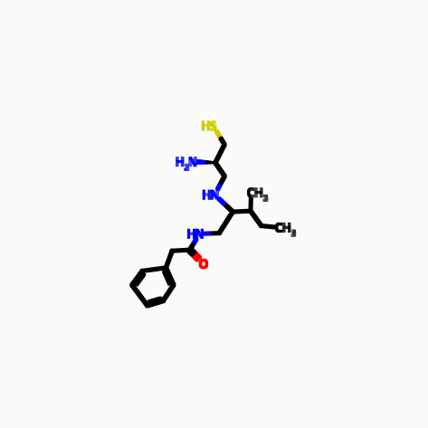 CCC(C)C(CNC(=O)Cc1ccccc1)NC[C@@H](N)CS